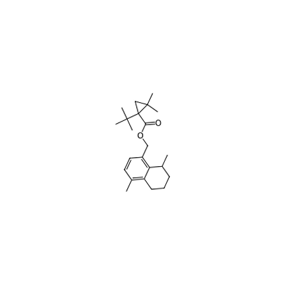 Cc1ccc(COC(=O)C2(C(C)(C)C)CC2(C)C)c2c1CCCC2C